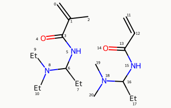 C=C(C)C(=O)NC(CC)N(CC)CC.C=CC(=O)NC(CC)N(C)C